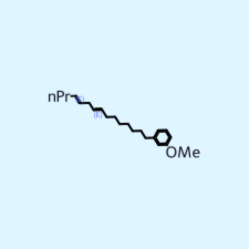 CCC/C=C/C/C=C/CCCCCCCc1cccc(OC)c1